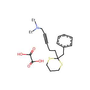 CCN(CC)CC#CCCC1(Cc2ccccc2)SCCCS1.O=C(O)C(=O)O